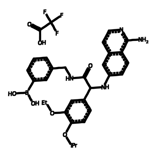 CCOc1cc(C(Nc2ccc3c(N)nccc3c2)C(=O)NCc2cccc(B(O)O)c2)ccc1OC(C)C.O=C(O)C(F)(F)F